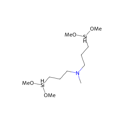 CO[SiH](CCCN(C)CCC[SiH](OC)OC)OC